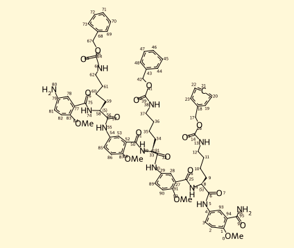 COc1ccc(NC(=O)[C@H](CCCCNC(=O)OCc2ccccc2)NC(=O)c2cc(NC(=O)[C@H](CCCCNC(=O)OCc3ccccc3)NC(=O)c3cc(NC(=O)[C@H](CCCCNC(=O)OCc4ccccc4)NC(=O)c4cc(N)ccc4OC)ccc3OC)ccc2OC)cc1C(N)=O